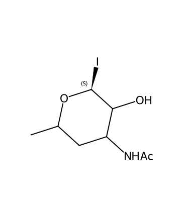 CC(=O)NC1CC(C)O[C@@H](I)C1O